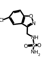 NS(=O)(=O)NCc1noc2ccc(Cl)cc12